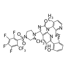 Cc1ccnc(C(C)C)c1-n1c(=O)nc(N2CCN(S(=O)(=O)c3c(F)c(F)c(F)c(F)c3C(F)(F)F)C[C@@H]2C)c2cc(F)c(-c3c(O)cccc3F)nc21